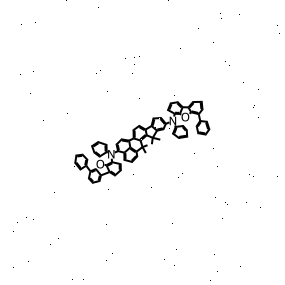 CC1(C)c2cc(N(c3ccccc3)c3cccc4c3oc3c(-c5ccccc5)cccc34)ccc2-c2ccc3c(c21)C(C)(C)c1cccc2c(N(c4ccccc4)c4cccc5c4oc4c(-c6ccccc6)cccc45)ccc-3c12